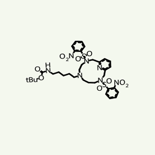 CC(C)(C)OC(=O)NCCCCCN1CCCN(S(=O)(=O)c2ccccc2[N+](=O)[O-])Cc2cccc(n2)CN(S(=O)(=O)c2ccccc2[N+](=O)[O-])CC1